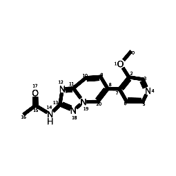 COc1cnccc1-c1ccc2nc(NC(C)=O)nn2c1